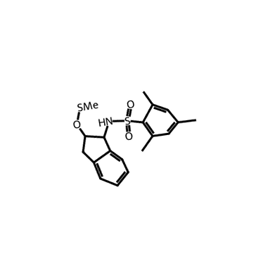 CSOC1Cc2ccccc2C1NS(=O)(=O)c1c(C)cc(C)cc1C